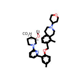 CCO[C@@H]1CN(c2cccc(-c3cc(C)ccc3OCc3ccc4c(c3C)CCN(C3CCOCC3)CC4)n2)CC[C@@H]1C(=O)O